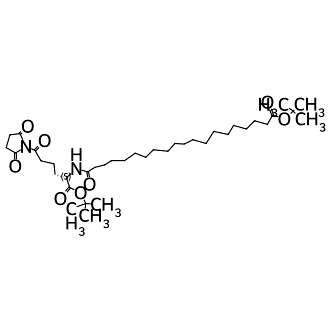 CC(C)(C)OC(=O)CCCCCCCCCCCCCCCCCCC(=O)N[C@@H](CCCC(=O)N1C(=O)CCC1=O)C(=O)OC(C)(C)C